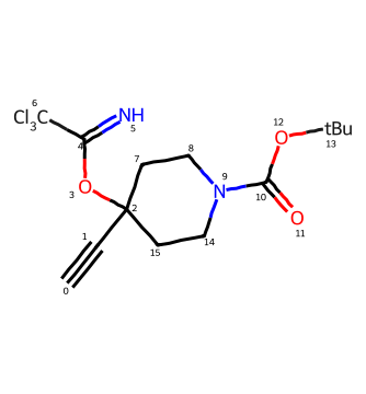 C#CC1(OC(=N)C(Cl)(Cl)Cl)CCN(C(=O)OC(C)(C)C)CC1